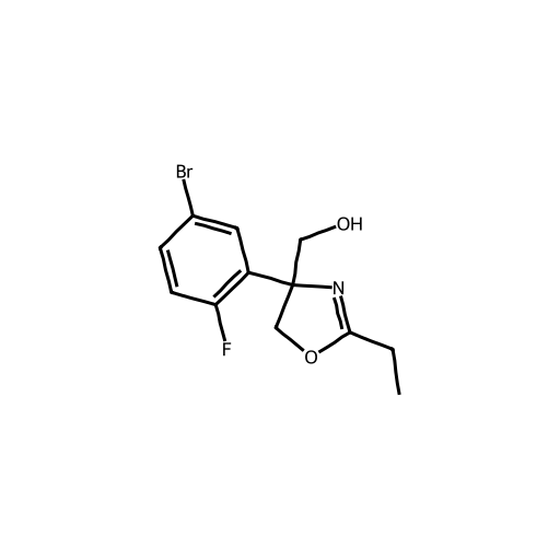 CCC1=NC(CO)(c2cc(Br)ccc2F)CO1